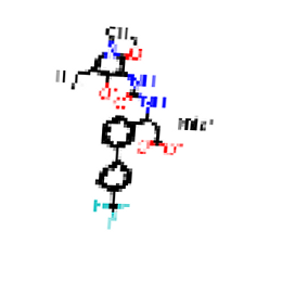 Cc1cn(C)c(=O)c(NC(=O)N[C@@H](CC(=O)[O-])c2cccc(-c3ccc(C(F)(F)F)cc3)c2)c1[O-].[Na+].[Na+]